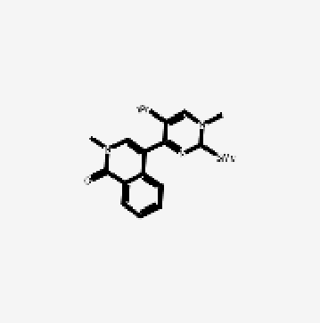 CCCC1=CN(C)C(SC)N=C1c1cn(C)c(=O)c2ccccc12